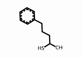 [CH]C(S)CCCc1ccccc1